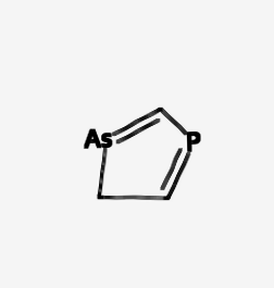 C1=PC=[As]C1